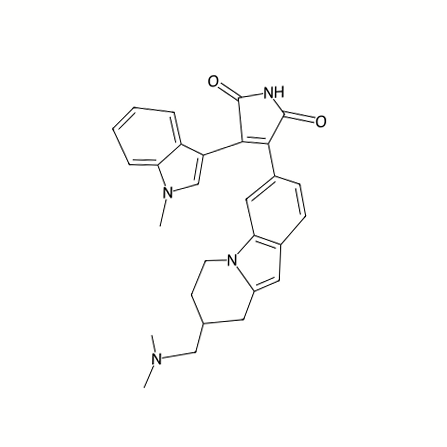 CN(C)CC1CCn2c(cc3ccc(C4=C(c5cn(C)c6ccccc56)C(=O)NC4=O)cc32)C1